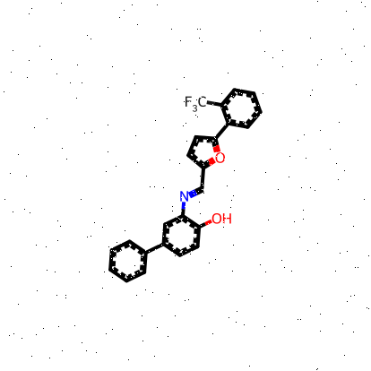 Oc1ccc(-c2ccccc2)cc1/N=C/c1ccc(-c2ccccc2C(F)(F)F)o1